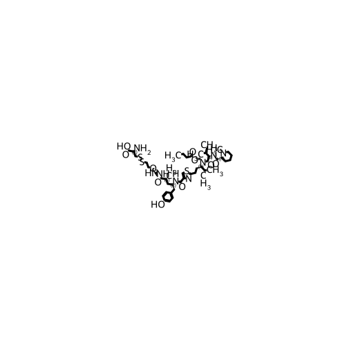 CCCC(=O)OCN(C(=O)[C@@H](NC(=O)[C@H]1CCCCN1C)C(C)CC)[C@H](CCc1nc(C(=O)N[C@@H](Cc2ccc(O)cc2)C[C@H](C)C(=O)NNOCCSSC[C@H](N)C(=O)O)cs1)C(C)C